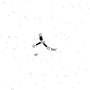 O=[Se]([O-])[O-].[H+].[Na+]